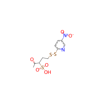 CC(=O)C(CCSSc1ccc([N+](=O)[O-])cn1)S(=O)(=O)O